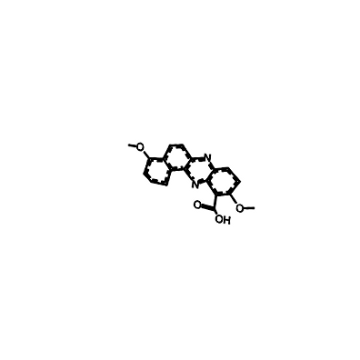 COc1ccc2nc3ccc4c(OC)cccc4c3nc2c1C(=O)O